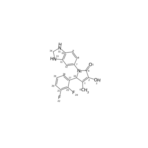 CC1=C(O)C(=O)N(c2ccc3c(c2)NCN3)C1c1cccc(F)c1F